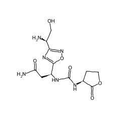 NC(=O)C[C@H](NC(=O)N[C@H]1CCOC1=O)c1nc([C@@H](N)CO)no1